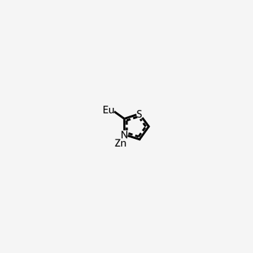 [Eu][c]1nccs1.[Zn]